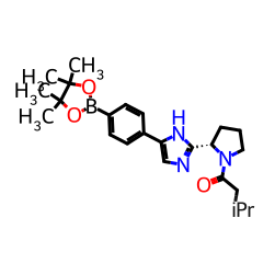 CC(C)CC(=O)N1CCC[C@H]1c1ncc(-c2ccc(B3OC(C)(C)C(C)(C)O3)cc2)[nH]1